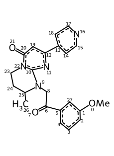 COc1cccc(C(=O)CN2c3nc(-c4ccncc4)cc(=O)n3CCC2C)c1